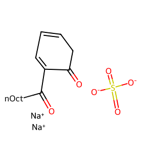 CCCCCCCCC(=O)C1=CC=CCC1=O.O=S(=O)([O-])[O-].[Na+].[Na+]